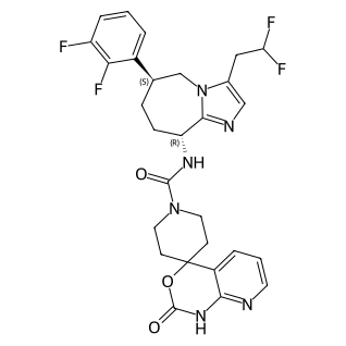 O=C1Nc2ncccc2C2(CCN(C(=O)N[C@@H]3CC[C@@H](c4cccc(F)c4F)Cn4c(CC(F)F)cnc43)CC2)O1